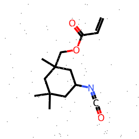 C=CC(=O)OCC1(C)CC(N=C=O)CC(C)(C)C1